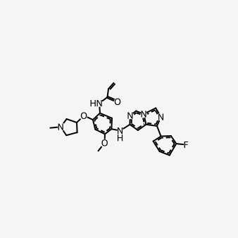 C=CC(=O)Nc1cc(Nc2cc3c(-c4cccc(F)c4)ncn3cn2)c(OC)cc1OC1CCN(C)C1